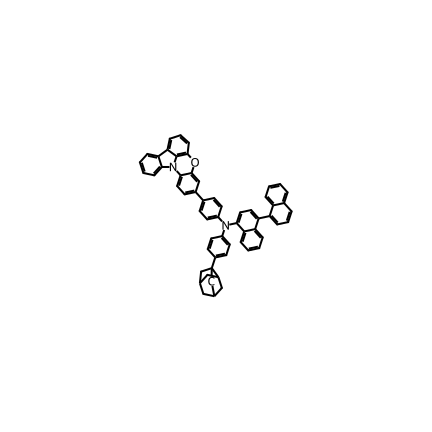 c1ccc2c(-c3ccc(N(c4ccc(-c5ccc6c(c5)Oc5cccc7c8ccccc8n-6c57)cc4)c4ccc(C56CC7CC(CC5C7)C6)cc4)c4ccccc34)cccc2c1